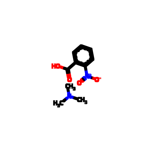 CN(C)C.O=C(O)c1ccccc1[N+](=O)[O-]